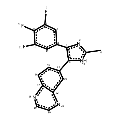 Cc1nc(-c2cc(F)c(F)c(F)c2)c(-c2ccc3nccnc3c2)[nH]1